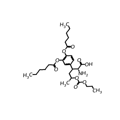 CCCCCC(=O)Oc1ccc(C(CC(C)OC(=O)OCCC)[C@H](N)C(=O)O)cc1OC(=O)CCCCC